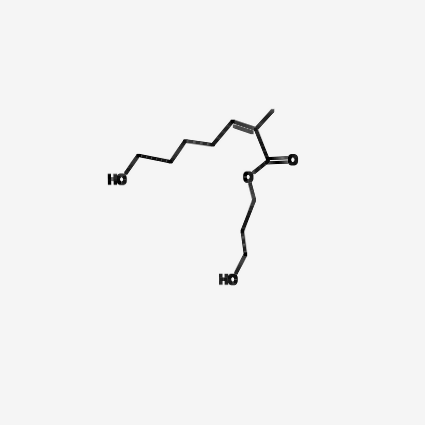 CC(=CCCCCO)C(=O)OCCCO